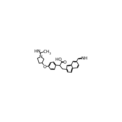 CC(=N)N1CCC(Oc2ccc(C(Cc3ccc4ccc(C=N)cc4c3)C(=O)O)cc2)C1